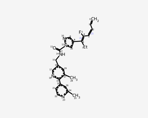 C=C/C=C\C(F)=C(/CC)c1cnn(C(=O)NCc2cnc(-c3ccnc(C)c3)c(C)c2)c1